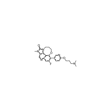 CN(C)CCCOc1ccc(-c2c(F)cc3ncc4c5c3c2OCCCn5c(=O)n4C)cn1